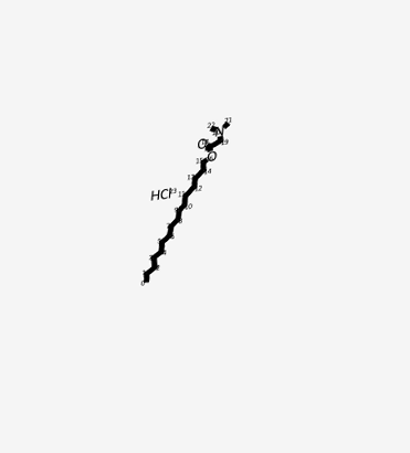 CCCCCCCCCCCCCCCCOC(=O)CN(C)C.Cl